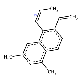 C=Cc1ccc2c(C)nc(C)cc2c1/C=C\C